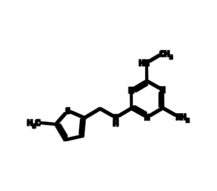 CNc1nc(N)nc(NCc2ccc(C)s2)n1